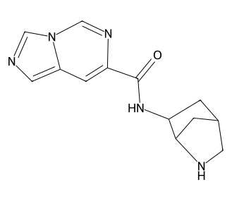 O=C(NC1CC2CNC1C2)c1cc2cncn2cn1